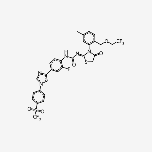 Cc1ccc(COCC(F)(F)F)c(N2C(=O)CS/C2=N\C(=O)Nc2ccc(-c3cn(-c4ccc(S(=O)(=O)C(F)(F)F)cc4)cn3)cc2F)c1